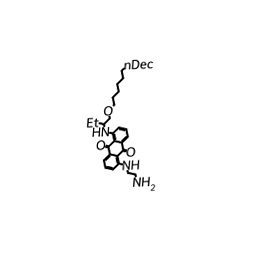 CCCCCCCCCCCCCCCCOCC(CC)Nc1cccc2c1C(=O)c1cccc(NCCN)c1C2=O